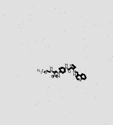 COCCNC(=CNc1ccc(NC(=O)c2sccc2NCc2ccnc3ccccc23)cc1)[N+](=O)[O-]